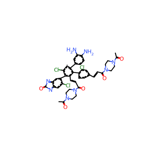 CC(=O)N1CCN(C(=O)/C=C/c2ccc(-c3c(-c4ccc(N)c(N)c4)[c]c(Cl)c(-c4cc5c(cc4Cl)=NC(=O)N=5)c3/C=C/C(=O)N3CCN(C(C)=O)CC3)c(Cl)c2)CC1